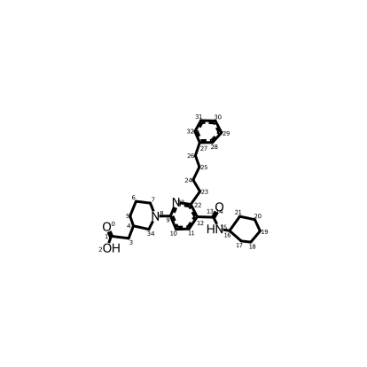 O=C(O)CC1CCCN(c2ccc(C(=O)NC3CCCCC3)c(CCCCc3ccccc3)n2)C1